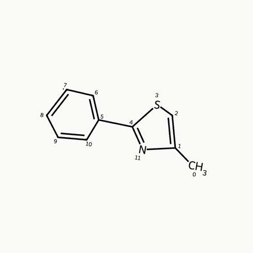 Cc1csc(-c2c[c]ccc2)n1